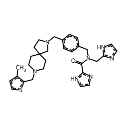 Cc1ccsc1CN1CCC2(CC1)CCN(Cc1ccc(CN(Cc3ncc[nH]3)C(=O)c3ncc[nH]3)cc1)C2